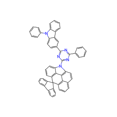 c1ccc(-c2nc(-c3ccc4c(c3)c3ccccc3n4-c3ccccc3)nc(-n3c4cccc5c4c4c6c(cccc6ccc43)C53c4ccccc4-c4ccccc43)n2)cc1